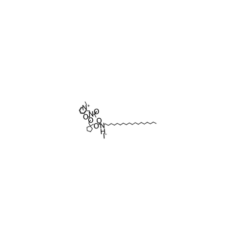 CCCCCCCCCCCCCCCCCCNC(=O)OCC1(COC(=O)N(Cc2cccc[n+]2CC)C(C)=O)CCCC1.[I-]